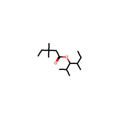 CCC(C)C(OC(=O)CC(C)(C)CC)C(C)C